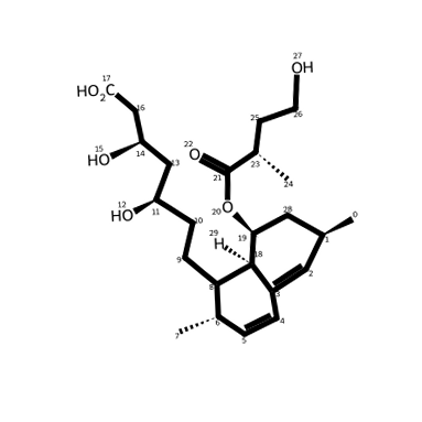 C[C@H]1C=C2C=C[C@H](C)C(CC[C@@H](O)C[C@@H](O)CC(=O)O)[C@H]2[C@@H](OC(=O)[C@@H](C)CCO)C1